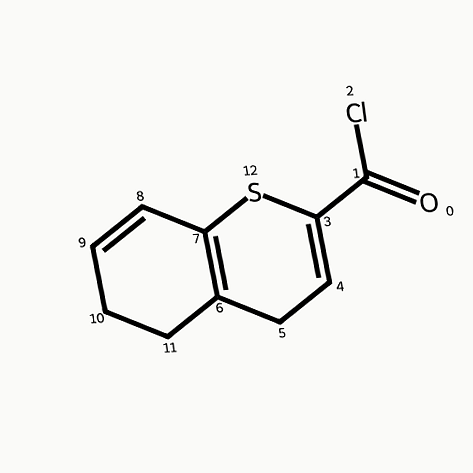 O=C(Cl)C1=CCC2=C(C=CCC2)S1